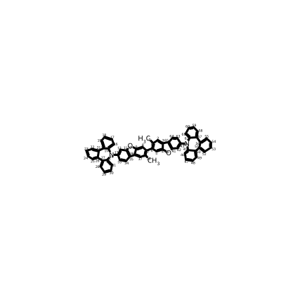 Cc1cc2c(cc1-c1cc3oc4cc(N5c6ccccc6-c6ccccc6-c6ccccc65)ccc4c3cc1C)oc1cc(N3c4ccccc4-c4ccccc4-c4ccccc43)ccc12